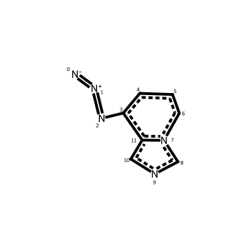 [N-]=[N+]=Nc1cccn2cncc12